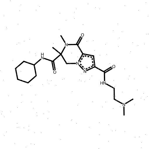 CN(C)CCNC(=O)c1cc2n(n1)CC(C)(C(=O)NC1CCCCC1)N(C)C2=O